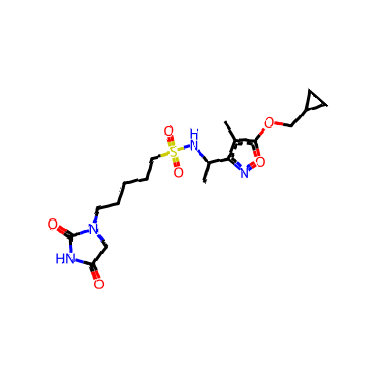 Cc1c(C(C)NS(=O)(=O)CCCCCN2CC(=O)NC2=O)noc1OCC1CC1